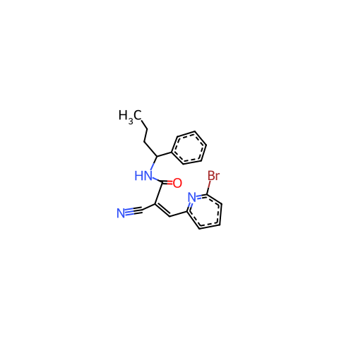 CCCC(NC(=O)C(C#N)=Cc1cccc(Br)n1)c1ccccc1